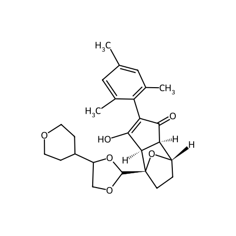 Cc1cc(C)c(C2=C(O)[C@H]3[C@@H](C2=O)[C@@H]2CC[C@@]3(C3OCC(C4CCOCC4)O3)O2)c(C)c1